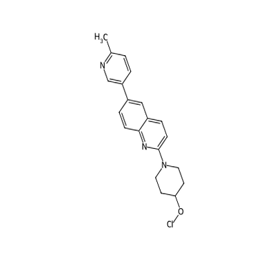 Cc1ccc(-c2ccc3nc(N4CCC(OCl)CC4)ccc3c2)cn1